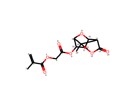 C=C(C)C(=O)OCC(=O)OC1C2OC(=O)C3C2OC1C3(C)C